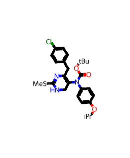 CSC1=NC(Cc2ccc(Cl)cc2)=C(N(C(=O)OC(C)(C)C)c2ccc(OC(C)C)cc2)CN1